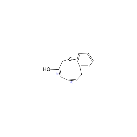 O/C1=C/C=C\Cc2ccccc2SC1